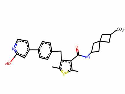 Cc1sc(C)c(C(=O)NC2CC3(C2)CC(C(=O)O)C3)c1Cc1ccc(-c2ccnc(O)c2)cc1